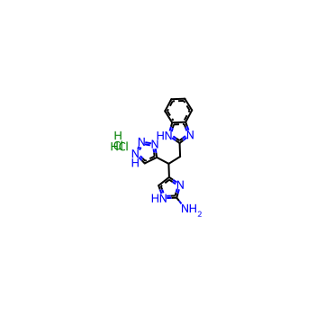 Cl.Cl.Nc1nc(C(Cc2nc3ccccc3[nH]2)c2c[nH]nn2)c[nH]1